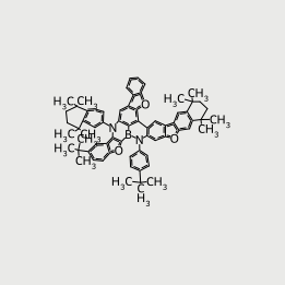 CC(C)(C)c1ccc(N2B3c4oc5ccc(C(C)(C)C)cc5c4N(c4ccc5c(c4)C(C)(C)CCC5(C)C)c4cc5c(oc6ccccc65)c(c43)-c3cc4c(cc32)oc2cc3c(cc24)C(C)(C)CCC3(C)C)cc1